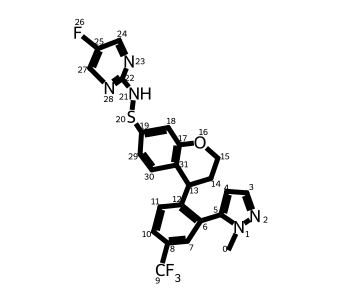 Cn1nccc1-c1cc(C(F)(F)F)ccc1C1CCOc2cc(SNc3ncc(F)cn3)ccc21